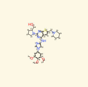 COc1cc(-n2cnc(Nc3nc(N4CCCC4CO)nc4sc(CN5CCCCC5)cc34)c2)cc(OC)c1OC